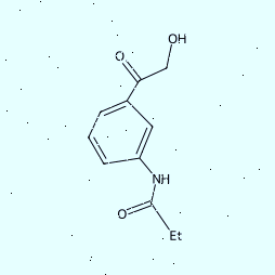 CCC(=O)Nc1cccc(C(=O)CO)c1